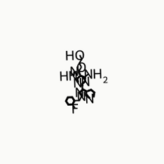 Nc1nc(-c2nn(Cc3ccccc3F)c3ncccc23)nc2[nH]nc(OCCO)c12